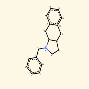 c1ccc(CN2CCC3Cc4ccccc4CC32)cc1